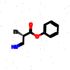 CC[C@@H](C=N)C(=O)Oc1ccccc1